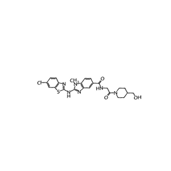 Cn1c(Nc2nc3ccc(Cl)cc3s2)nc2cc(C(=O)NCC(=O)N3CCC(CO)CC3)ccc21